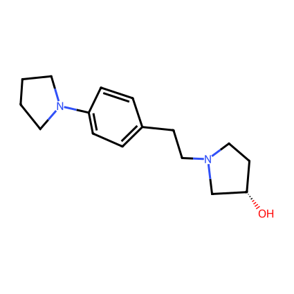 O[C@H]1CCN(CCc2ccc(N3CCCC3)cc2)C1